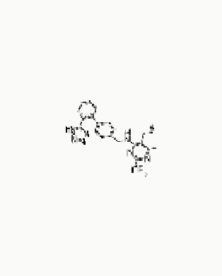 C=CCc1c(C)nc(C(F)(F)F)nc1NCc1ccc(-c2ccccc2-c2nnn[nH]2)cc1